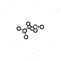 C1=CN(c2ccccc2)c2cccc3cc4c(c1c23)c1ccccc1n4-c1cc(-c2ccccc2)nc(-c2ccccc2)c1